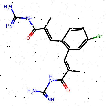 C/C(=C\c1ccc(Br)cc1/C=C(\C)C(=O)NC(=N)N)C(=O)NC(=N)N